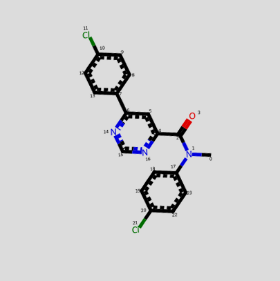 CN(C(=O)c1cc(-c2ccc(Cl)cc2)ncn1)c1ccc(Cl)cc1